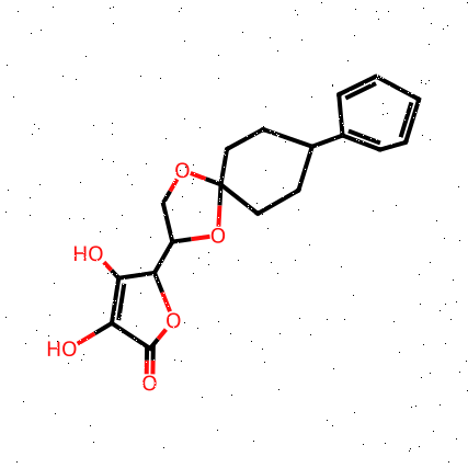 O=C1OC(C2COC3(CCC(c4ccccc4)CC3)O2)C(O)=C1O